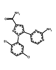 CCc1ccc(Cl)cc1-n1nc(C(N)=O)cc1-c1ccnc(N)n1